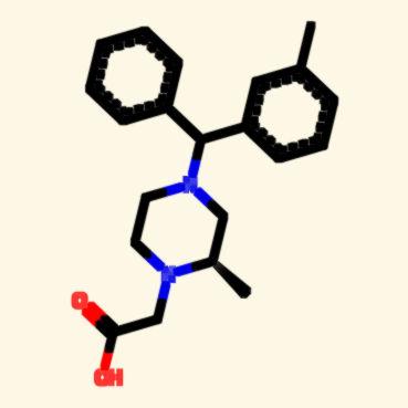 Cc1cccc(C(c2ccccc2)N2CCN(CC(=O)O)[C@H](C)C2)c1